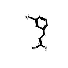 O=[N+]([O-])c1cccc(CC=C(O)Cl)c1